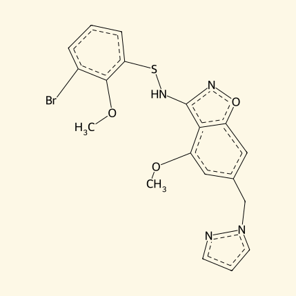 COc1c(Br)cccc1SNc1noc2cc(Cn3cccn3)cc(OC)c12